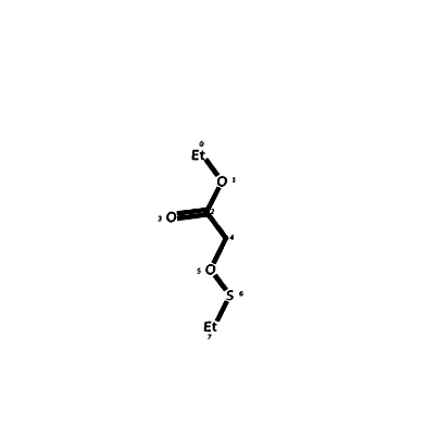 CCOC(=O)COSCC